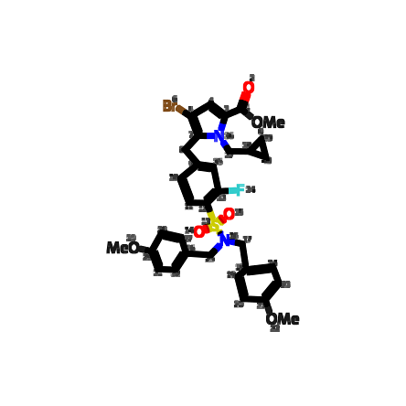 COC(=O)c1cc(Br)c(Cc2ccc(S(=O)(=O)N(Cc3ccc(OC)cc3)Cc3ccc(OC)cc3)c(F)c2)n1CC1CC1